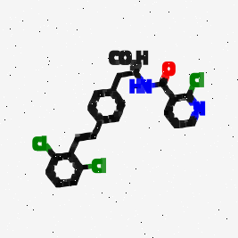 O=C(NC(Cc1ccc(C=Cc2c(Cl)cccc2Cl)cc1)C(=O)O)c1cccnc1Cl